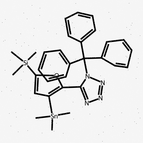 C[Si](C)(C)c1c[c]([Sn]([CH3])([CH3])[CH3])c(-c2nnnn2C(c2ccccc2)(c2ccccc2)c2ccccc2)o1